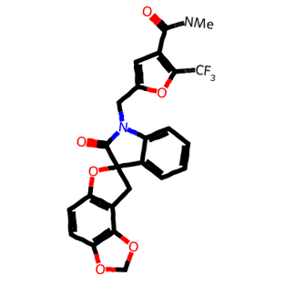 CNC(=O)c1cc(CN2C(=O)C3(Cc4c(ccc5c4OCO5)O3)c3ccccc32)oc1C(F)(F)F